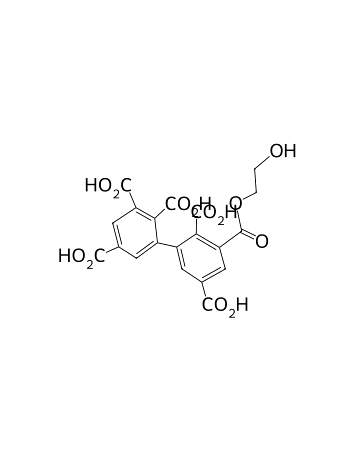 O=C(O)c1cc(C(=O)O)c(C(=O)O)c(-c2cc(C(=O)O)cc(C(=O)OCCO)c2C(=O)O)c1